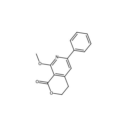 COc1nc(-c2ccccc2)cc2c1C(=O)OCC2